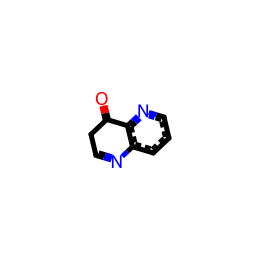 O=C1CC=Nc2cccnc21